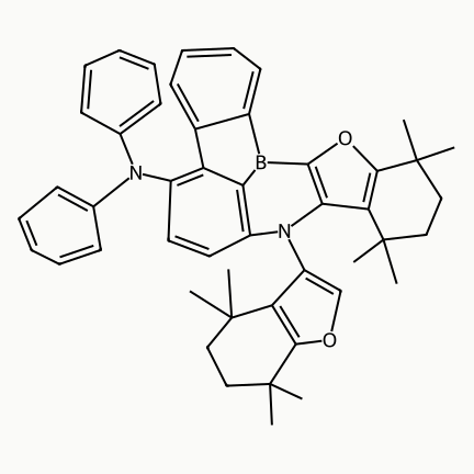 CC1(C)CCC(C)(C)c2c(N3c4ccc(N(c5ccccc5)c5ccccc5)c5c4B(c4ccccc4-5)c4oc5c(c43)C(C)(C)CCC5(C)C)coc21